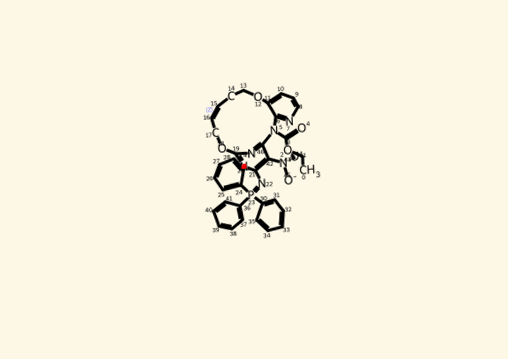 CCOC(=O)N1c2ncccc2OCC/C=C\COc2nc(N=P(c3ccccc3)(c3ccccc3)c3ccccc3)c([N+](=O)[O-])c1n2